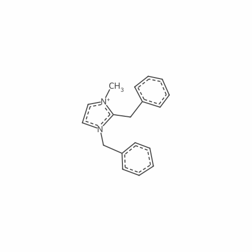 C[n+]1ccn(Cc2ccccc2)c1Cc1ccccc1